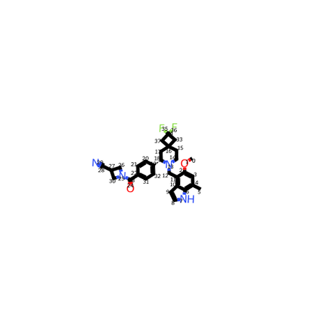 COc1cc(C)c2[nH]ccc2c1CN1CCC2(C[C@H]1c1ccc(C(=O)N3CC(C#N)C3)cc1)CC(F)(F)C2